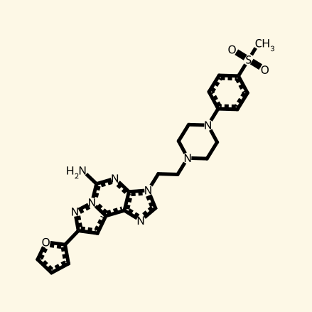 CS(=O)(=O)c1ccc(N2CCN(CCn3cnc4c3nc(N)n3nc(-c5ccco5)cc43)CC2)cc1